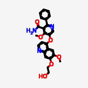 COc1cc2c(Oc3cnc(-c4ccccc4)c(C(N)=O)c3OC)ccnc2cc1OCCO